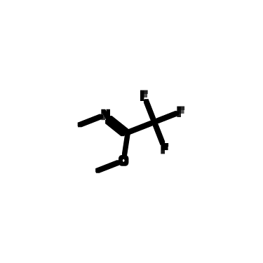 C/N=C(\OC)C(F)(F)F